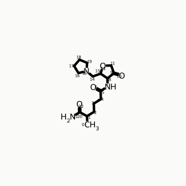 CC(CC[CH]C(=O)NC1C(=O)COC1CN1CCCC1)C(N)=O